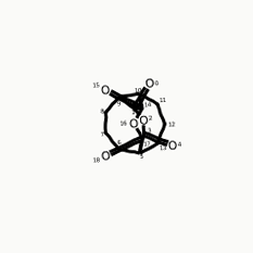 O=C1OC(=O)C23CCCC1C(CCC2)C(=O)OC3=O